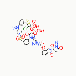 O=C(O)COc1c(C(=O)O)sc(-c2cccc(NC3CCN(S(=O)(=O)Cc4cccc(NC(=O)CCCCCCNC(=O)COc5cccc6c5CN(C5CCC(=O)NC5=O)C6=O)c4)CC3)c2)c1Cl